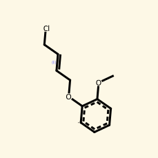 COc1ccc[c]c1OC/C=C/CCl